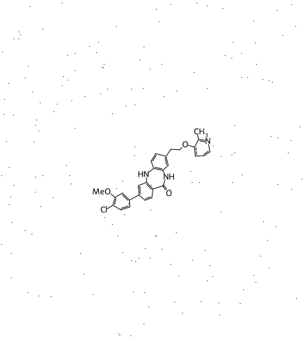 COc1cc(-c2ccc3c(c2)Nc2ccc(CCOc4cccnc4C)cc2NC3=O)ccc1Cl